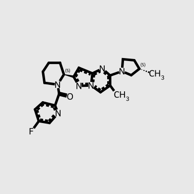 Cc1cn2nc([C@@H]3CCCCN3C(=O)c3ccc(F)cn3)cc2nc1N1CC[C@H](C)C1